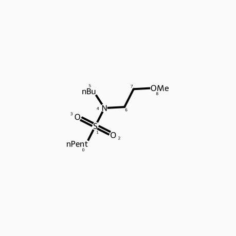 CCCCCS(=O)(=O)N(CCCC)CCOC